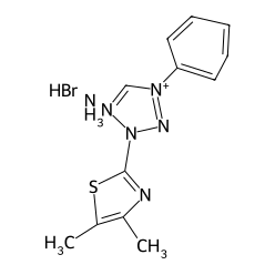 Br.Cc1nc(-n2nc[n+](-c3ccccc3)n2)sc1C.N